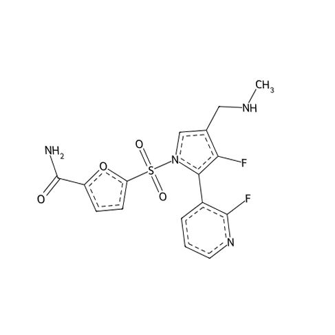 CNCc1cn(S(=O)(=O)c2ccc(C(N)=O)o2)c(-c2cccnc2F)c1F